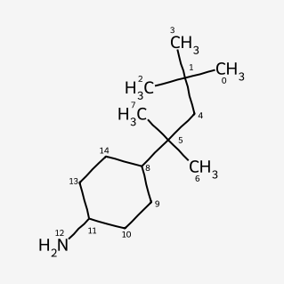 CC(C)(C)CC(C)(C)C1CCC(N)CC1